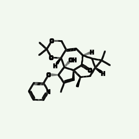 CC1=C[C@]23C(=O)[C@@H](C=C4COC(C)(C)O[C@H]4[C@]2(O)[C@H]1Oc1ccccn1)C1[C@@H](C[C@H]3C)C1(C)C